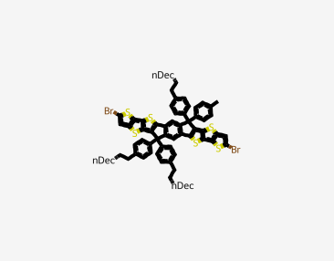 CCCCCCCCCCCCc1ccc(C2(c3ccc(C)cc3)c3cc4c(cc3-c3sc5c(sc6cc(Br)sc65)c32)C(c2ccc(CCCCCCCCCCCC)cc2)(c2ccc(CCCCCCCCCCCC)cc2)c2c-4sc3c2sc2cc(Br)sc23)cc1